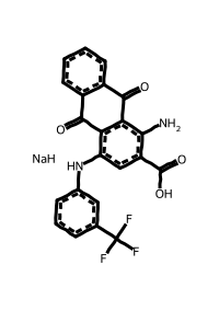 Nc1c(C(=O)O)cc(Nc2cccc(C(F)(F)F)c2)c2c1C(=O)c1ccccc1C2=O.[NaH]